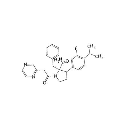 CC(C)c1ccc(C2CCN(C(=O)Cc3cnccn3)C2(Cc2ccccc2)C(N)=O)cc1F